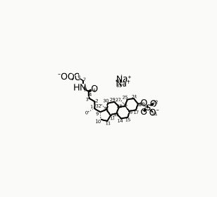 C[C@H](CCC(=O)NCC(=O)[O-])[C@H]1CCC2C3CCC4C[C@H](OS(=O)(=O)[O-])CC[C@]4(C)C3CC[C@@]21C.[Na+].[Na+]